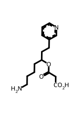 NCCCCC(CCc1cccnc1)OC(=O)CC(=O)O